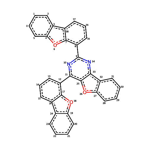 c1ccc2c(c1)oc1c(-c3nc(-c4cccc5c4oc4ccccc45)c4oc5ccccc5c4n3)cccc12